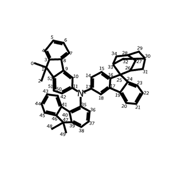 CC1(C)c2ccccc2-c2cc(N(c3ccc4c(c3)-c3ccccc3C43C4CC5CC(C4)CC3C5)c3cccc4c3-c3ccccc3C4(C)C)ccc21